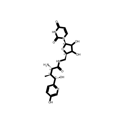 C[C@@H]([C@H](N)C(=O)NC[C@H]1O[C@@H](n2ccc(=O)[nH]c2=O)C(O)C1O)[C@H](O)c1ccc(O)cn1